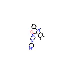 Cc1cc2c(C(=O)N3CCN(c4ccncc4)CC3)c(-c3ccccc3)n(C)c2cc1C